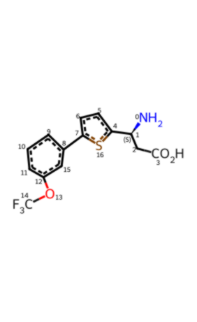 N[C@@H](CC(=O)O)c1ccc(-c2cccc(OC(F)(F)F)c2)s1